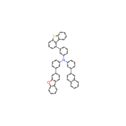 c1cc(-c2ccc3ccccc3c2)cc(N(c2cccc(-c3ccc4c(c3)oc3ccccc34)c2)c2cccc(-c3cccc4sc5ccccc5c34)c2)c1